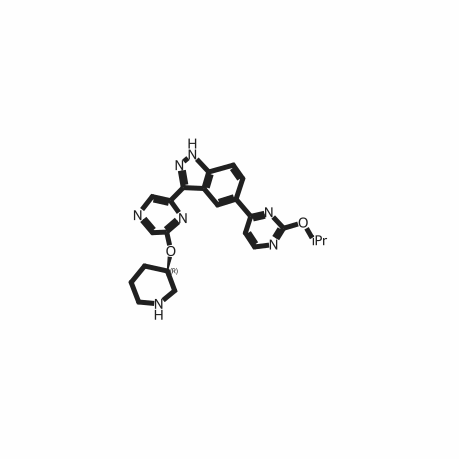 CC(C)Oc1nccc(-c2ccc3[nH]nc(-c4cncc(O[C@@H]5CCCNC5)n4)c3c2)n1